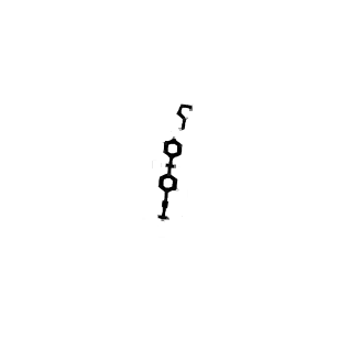 CCCC(O)(C#Cc1ccc(C(CC)(CC)c2ccc(OCC3=CCC(=O)O3)c(C)c2)cc1C)CCC